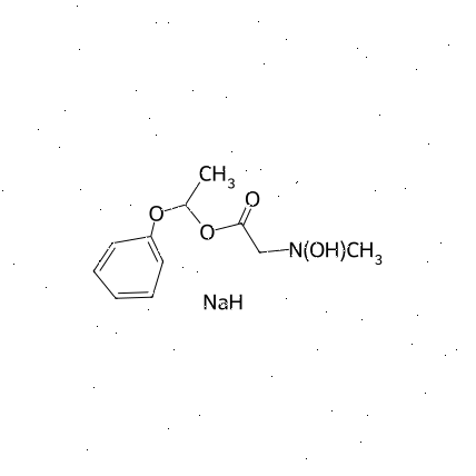 CC(OC(=O)CN(C)O)Oc1ccccc1.[NaH]